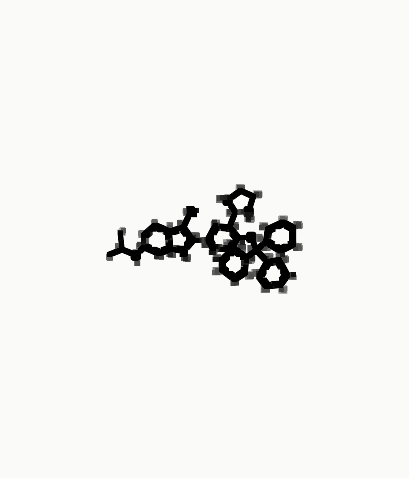 CC(C)Oc1ccc2c(Br)c(-c3ccc(OC(c4ccccc4)(c4ccccc4)c4ccccc4)c(C4OCCO4)c3)sc2c1